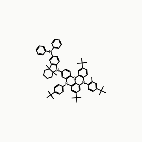 Cc1cc(C(C)(C)C)ccc1N1c2ccc(C(C)(C)C)cc2B2c3ccc(N4c5ccc(N(c6ccccc6)c6ccccc6)cc5C5(C)CCCCC45C)cc3N(c3ccc(C(C)(C)C)cc3)c3cc(C(C)(C)C)cc1c32